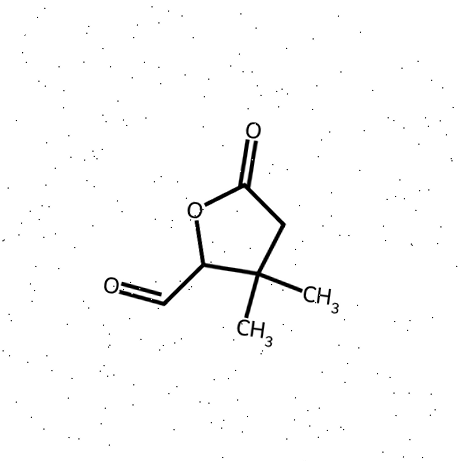 CC1(C)CC(=O)OC1C=O